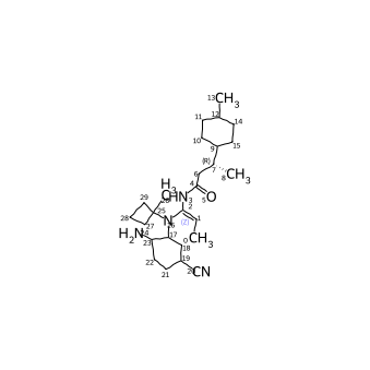 C/C=C(/NC(=O)C[C@@H](C)C1CCC(C)CC1)N(C1CC(C#N)CCC1N)C1(C)CCC1